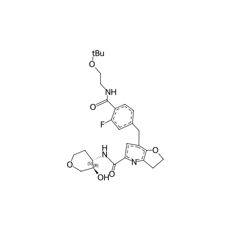 CC(C)(C)OCCNC(=O)c1ccc(Cc2cc(C(=O)N[C@H]3CCOC[C@@H]3O)nc3c2OCC3)cc1F